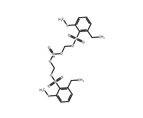 CCc1cccc(SC)c1S(=O)(=O)OCO[PH](=O)OCOS(=O)(=O)c1c(CC)cccc1SC